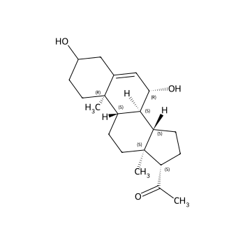 CC(=O)[C@H]1CC[C@H]2[C@@H]3[C@@H](O)C=C4CC(O)CC[C@]4(C)[C@H]3CC[C@]12C